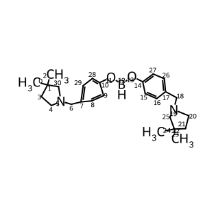 CC1(C)CCN(Cc2ccc(OBOc3ccc(CN4CCC(C)(C)C4)cc3)cc2)C1